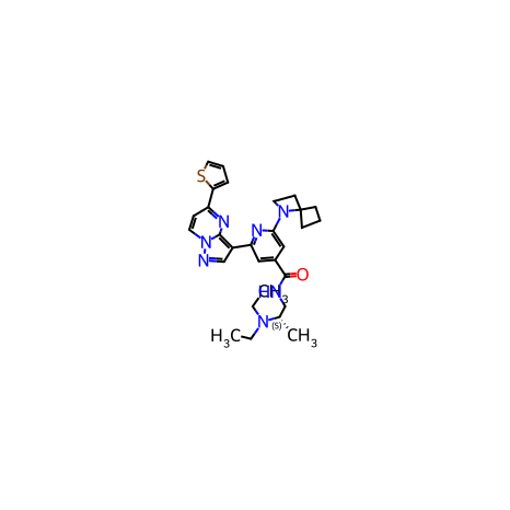 CCN(CC)[C@@H](C)CNC(=O)c1cc(-c2cnn3ccc(-c4cccs4)nc23)nc(N2CCC23CCC3)c1